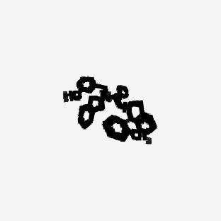 Cc1ccccc1[C@H]1c2ccccc2CCN1CC(=O)N(Cc1cccc(O)c1)C1Cc2ccccc2C1